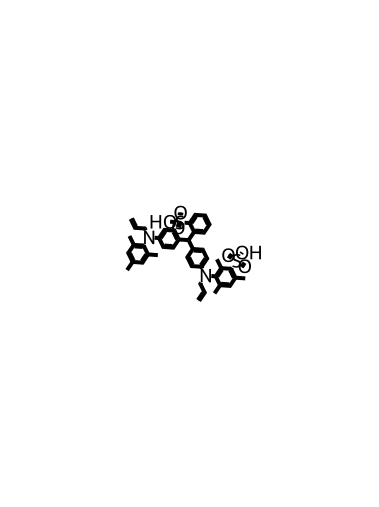 C=CCN(c1ccc(C(c2ccc(N(CC=C)c3c(C)cc(C)c(S(=O)(=O)O)c3C)cc2)c2ccccc2S(=O)(=O)O)cc1)c1c(C)cc(C)cc1C